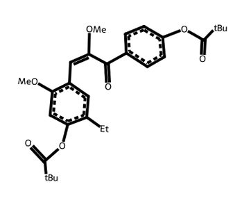 CCc1cc(C=C(OC)C(=O)c2ccc(OC(=O)C(C)(C)C)cc2)c(OC)cc1OC(=O)C(C)(C)C